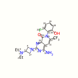 CCN(CC)C1CN(c2nc(N)c3cc(C(F)(F)F)n(-c4c(O)cccc4F)c(=O)c3n2)C1